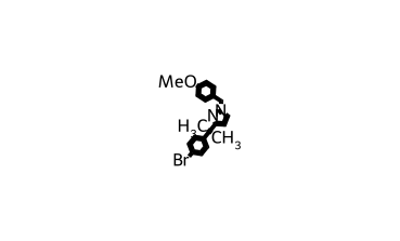 COc1ccc(Cn2ccc(C(C)(C)c3ccc(Br)cc3)n2)cc1